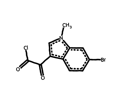 Cn1cc(C(=O)C(=O)Cl)c2ccc(Br)cc21